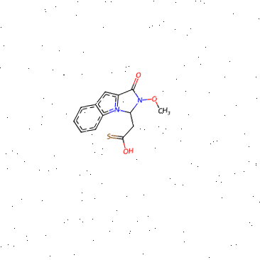 CON1C(=O)c2cc3ccccc3n2C1CC(O)=S